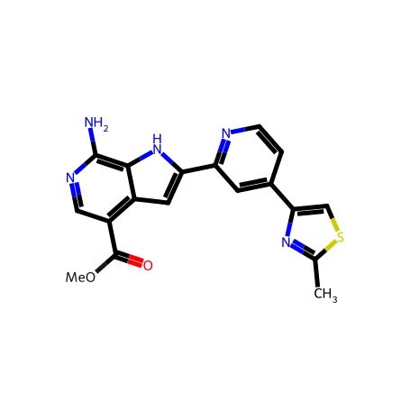 COC(=O)c1cnc(N)c2[nH]c(-c3cc(-c4csc(C)n4)ccn3)cc12